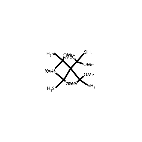 COC([SiH3])(OC)C(C([SiH3])(OC)OC)(C([SiH3])(OC)OC)C([SiH3])(OC)OC